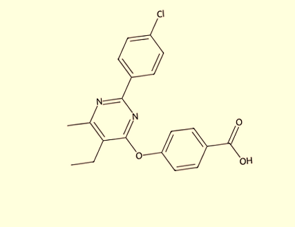 CCc1c(C)nc(-c2ccc(Cl)cc2)nc1Oc1ccc(C(=O)O)cc1